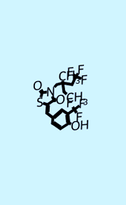 CCC(C)(CN1C(=O)S/C(=C/c2ccc(O)c(C(F)(F)F)c2)C1=O)CC(F)(F)F